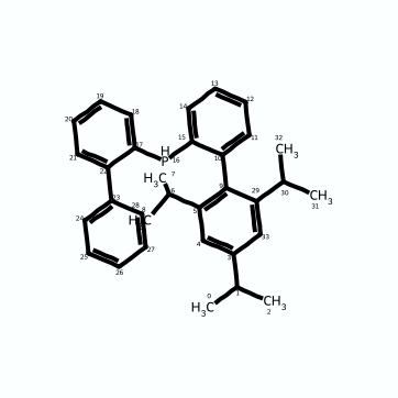 CC(C)c1cc(C(C)C)c(-c2ccccc2Pc2ccccc2-c2ccccc2)c(C(C)C)c1